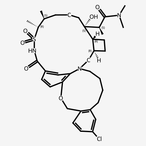 C[C@H](C(=O)N(C)C)[C@]1(O)CCC[C@H](C)[C@@H](C)S(=O)(=O)NC(=O)c2ccc3c(c2)N(CCCCc2cc(Cl)ccc2CO3)C[C@@H]2CC[C@H]21